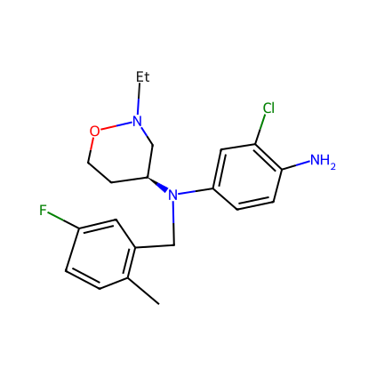 CCN1C[C@@H](N(Cc2cc(F)ccc2C)c2ccc(N)c(Cl)c2)CCO1